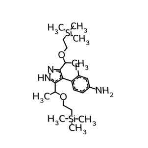 CC(OCC[Si](C)(C)C)c1n[nH]c(C(C)OCC[Si](C)(C)C)c1-c1ccc(N)cc1F